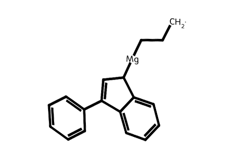 [CH2]C[CH2][Mg][CH]1C=C(c2ccccc2)c2ccccc21